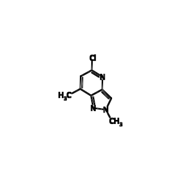 Cc1cc(Cl)nc2cn(C)nc12